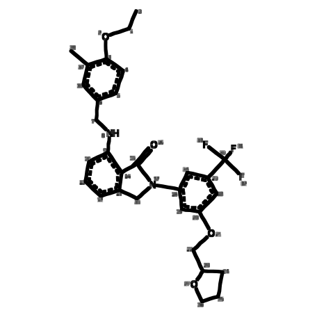 CCOc1ccc(CNc2cccc3c2C(=O)N(c2cc(OCC4CCCO4)cc(C(F)(F)F)c2)C3)cc1C